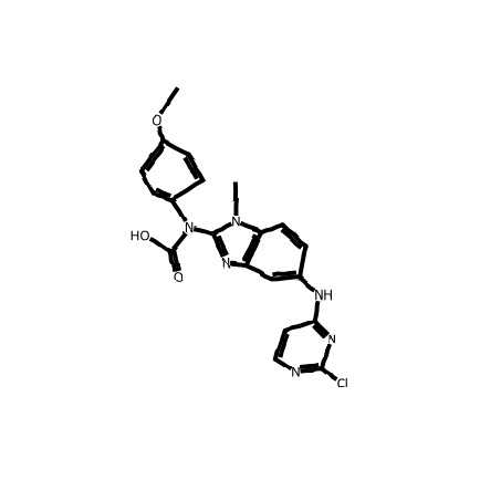 COc1ccc(N(C(=O)O)c2nc3cc(Nc4ccnc(Cl)n4)ccc3n2C)cc1